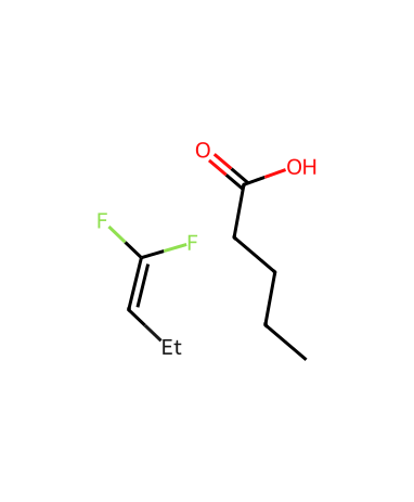 CCC=C(F)F.CCCCC(=O)O